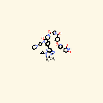 CC(C)n1cnc2cc(-c3ccc4c(c3)N(C3CC(N5CCCCC5)C3)C(=O)C43CCN(C(=O)[C@@H]4CCN(C(=O)C5CCC(Oc6ccc([C@H]7CCC(=O)NC7=O)cn6)CC5)C4)CC3)nc(NC3CC3)c21